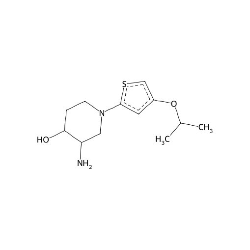 CC(C)Oc1csc(N2CCC(O)C(N)C2)c1